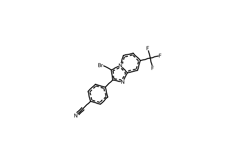 N#Cc1ccc(-c2nc3cc(C(F)(F)F)ccn3c2Br)cc1